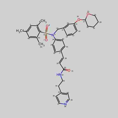 Cc1cc(C)c(S(=O)(=O)N(Cc2cccc(OC3CCCCO3)c2)c2ccc(C=CC(=O)NCCc3ccncc3)cc2)c(C)c1